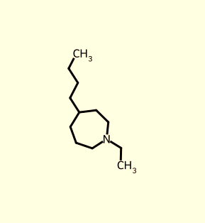 CCCCC1CCCN(CC)CC1